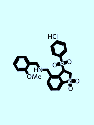 COc1ccccc1CNCc1cccc2c1C(S(=O)(=O)c1ccccc1)CS2(=O)=O.Cl